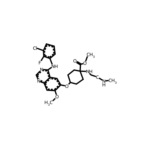 CNCCNC1(C(=O)OC)CCC(Oc2cc3c(Nc4cccc(Cl)c4F)ncnc3cc2OC)CC1